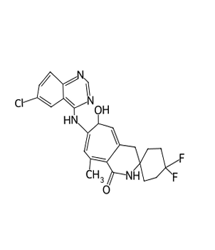 CC1=C2C(=O)NC3(CCC(F)(F)CC3)CC2=CC(O)C(Nc2ncnc3ccc(Cl)cc23)=C1